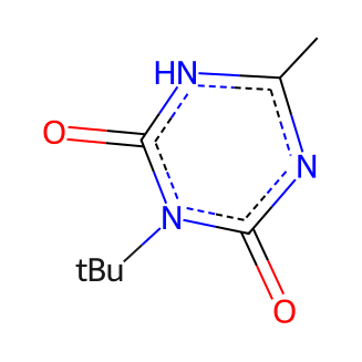 Cc1nc(=O)n(C(C)(C)C)c(=O)[nH]1